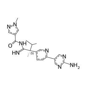 CC(C)[C@](C)(C(=N)NC(=O)c1cnn(C)c1)c1ccc(-c2cnc(N)nc2)nc1